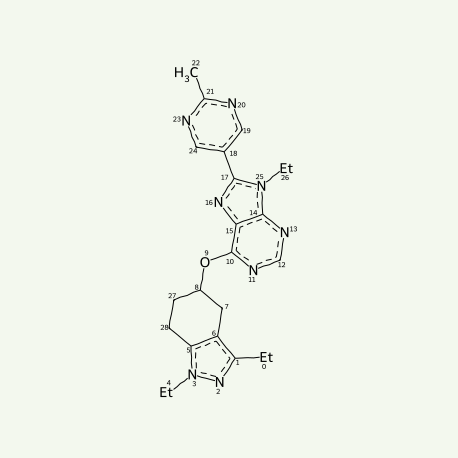 CCc1nn(CC)c2c1CC(Oc1ncnc3c1nc(-c1cnc(C)nc1)n3CC)CC2